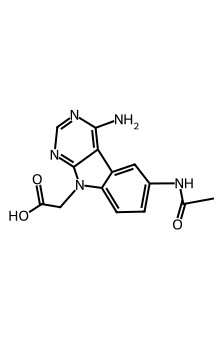 CC(=O)Nc1ccc2c(c1)c1c(N)ncnc1n2CC(=O)O